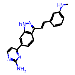 CNc1cccc(/C=C/c2n[nH]c3cc(-c4ccnc(N)n4)ccc23)c1